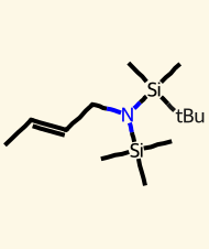 CC=CCN([Si](C)(C)C)[Si](C)(C)C(C)(C)C